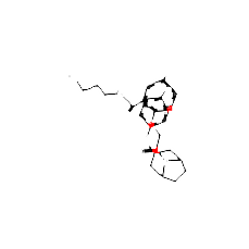 O=C(NCCCO)c1cc(Cl)ccc1OCC(=O)N1C2CCC1CC(Oc1ccc(F)cc1)C2